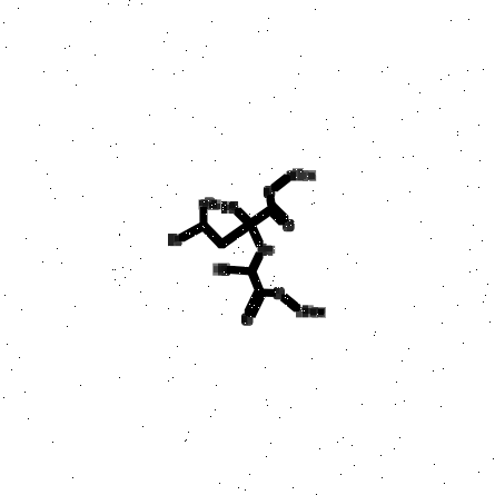 CCCCCCOC(=O)[CH](S)[Sn][C](S)(CC(CC)CCCC)C(=O)OCCCCCC